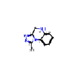 CCc1nnc2n1-c1ccccc1NC2